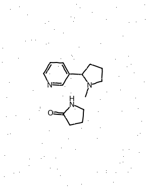 CN1CCCC1c1cccnc1.O=C1CCCN1